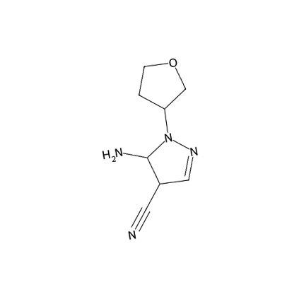 N#CC1C=NN(C2CCOC2)C1N